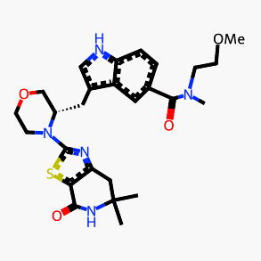 COCCN(C)C(=O)c1ccc2[nH]cc(C[C@H]3COCCN3c3nc4c(s3)C(=O)NC(C)(C)C4)c2c1